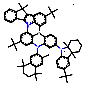 Cc1cc2c(cc1N1c3cc(N4c5ccc(C(C)(C)C)cc5C5(C)CCCCC45C)ccc3B3c4c1cc(C(C)(C)C)cc4-n1c4c(c5cc(C(C)(C)C)cc3c51)C(C)(C)c1ccccc1-4)C(C)(C)CCC2(C)C